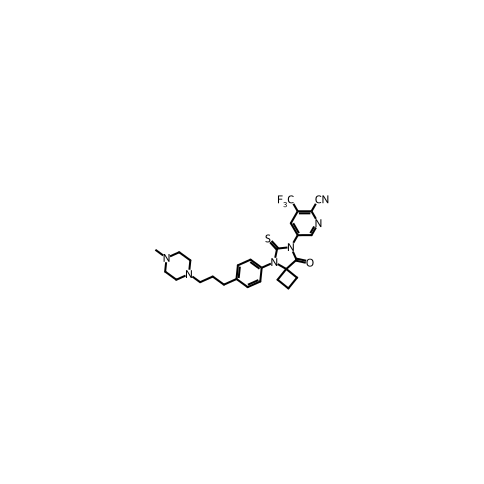 CN1CCN(CCCc2ccc(N3C(=S)N(c4cnc(C#N)c(C(F)(F)F)c4)C(=O)C34CCC4)cc2)CC1